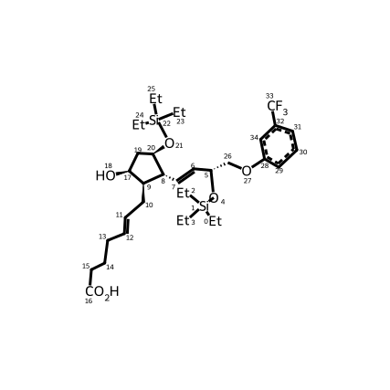 CC[Si](CC)(CC)O[C@H](C=C[C@@H]1[C@@H](CC=CCCCC(=O)O)[C@@H](O)C[C@H]1O[Si](CC)(CC)CC)COc1cccc(C(F)(F)F)c1